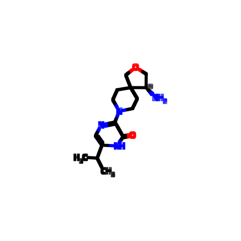 CC(C)c1cnc(N2CCC3(CC2)COC[C@H]3N)c(=O)[nH]1